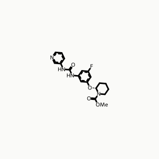 COC(=O)N1CCCC[C@H]1Oc1cc(F)cc(NC(=O)Nc2cccnc2)c1